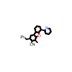 Cc1c(C#N)c(CC(C)C)cc2c1oc1c(-c3ccccn3)cccc12